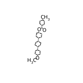 COc1ccc(-c2ccc(-c3ccc(OC(=O)c4ccc(C)cc4)cc3)cc2)cc1